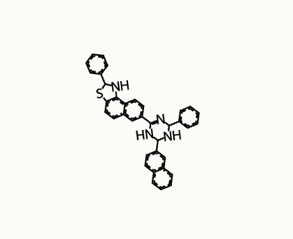 c1ccc(C2N=C(c3ccc4c5c(ccc4c3)SC(c3ccccc3)N5)NC(c3ccc4ccccc4c3)N2)cc1